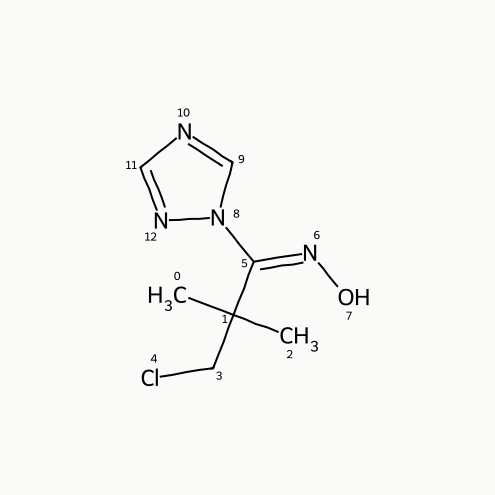 CC(C)(CCl)C(=NO)n1cncn1